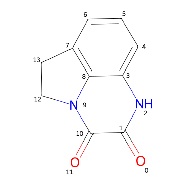 O=c1[nH]c2cccc3c2n(c1=O)CC3